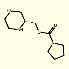 O=C(OC[C@H]1CNCCN1)N1CCCC1